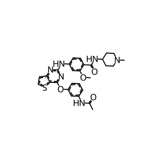 COc1cc(Nc2nc(Oc3cccc(NC(C)=O)c3)c3sccc3n2)ccc1C(=O)NC1CCN(C)CC1